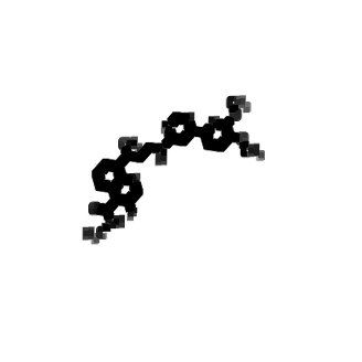 CNC(=O)c1c(F)cnc2c(C(C)CCNc3cc(-c4ccc(OC)c(OC)n4)ncn3)cccc12